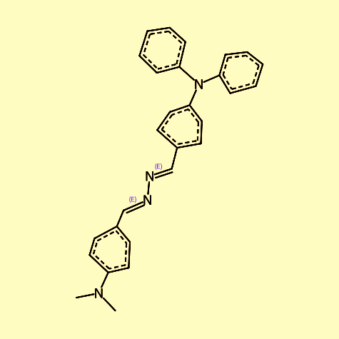 CN(C)c1ccc(/C=N/N=C/c2ccc(N(c3ccccc3)c3ccccc3)cc2)cc1